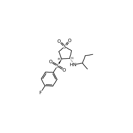 CCC(C)N[C@H]1CS(=O)(=O)C[C@@H]1S(=O)(=O)c1ccc(F)cc1